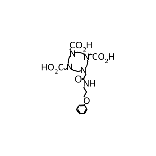 O=C(O)CN1CCN(CC(=O)O)CCN(CC(=O)NCCCOc2ccccc2)CCN(CC(=O)O)CC1